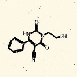 N#Cc1c(-c2ccccc2)[nH]c(=O)n(CCS)c1=O